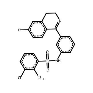 Cc1c(Cl)cccc1S(=O)(=O)Nc1cccc(C2=NCCc3cc(F)ccc32)c1